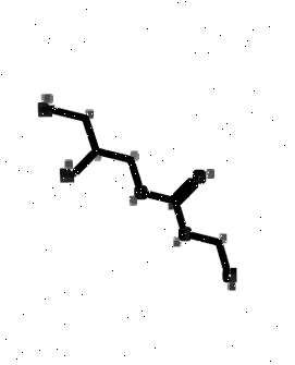 O=C(OCCl)OCC(Br)CBr